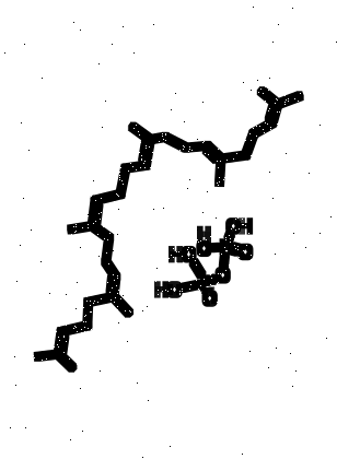 CC(C)=CCCC(C)=CCCC(C)=CCCC=C(C)CCC=C(C)CCC=C(C)C.O=P(O)(O)OP(=O)(O)O